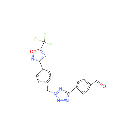 O=Cc1ccc(-c2nnn(Cc3ccc(-c4noc(C(F)(F)F)n4)cc3)n2)cc1